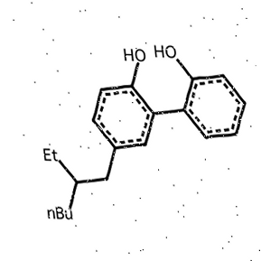 CCCCC(CC)Cc1ccc(O)c(-c2ccccc2O)c1